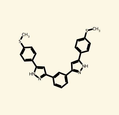 CSc1ccc(-c2cc(-c3cccc(-c4cc(-c5ccc(SC)cc5)[nH]n4)c3)n[nH]2)cc1